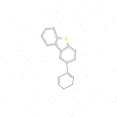 C1=CC(c2ccc3sc4ccccc4c3c2)=CCC1